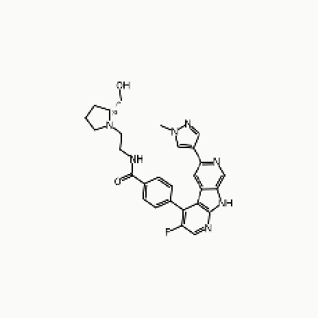 Cn1cc(-c2cc3c(cn2)[nH]c2ncc(F)c(-c4ccc(C(=O)NCCN5CCC[C@@H]5CO)cc4)c23)cn1